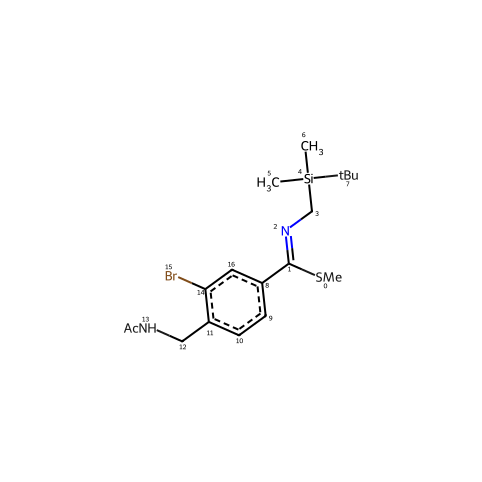 CSC(=NC[Si](C)(C)C(C)(C)C)c1ccc(CNC(C)=O)c(Br)c1